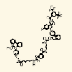 CN(CCN1CCC(N(C(=O)O)c2ccccc2-c2ccccc2)CC1)C(=O)CCCCCNc1nc2ccc(C(=O)N(C)CCCN(C)C(=O)CO[C@H]3Cc4ccccc4C34CCN(CC[C@]3(c5ccc(F)cc5)CN(C(=O)c5cc(C(F)(F)F)cc(C(F)(F)F)c5)CO3)CC4)cc2s1